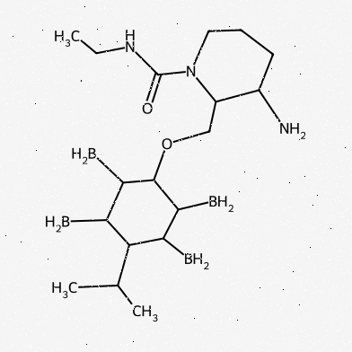 BC1C(B)C(C(C)C)C(B)C(B)C1OCC1C(N)CCCN1C(=O)NCC